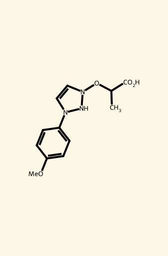 COc1ccc(N2C=CN(OC(C)C(=O)O)N2)cc1